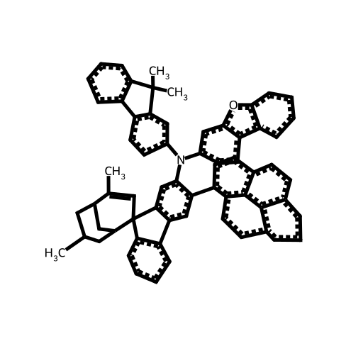 CC1=CC2(c3ccccc3-c3cc(-c4ccc5ccc6cccc7ccc4c5c67)c(N(c4ccc5c(c4)C(C)(C)c4ccccc4-5)c4ccc5c(c4)oc4ccccc45)cc32)C2CC(C)CC1C2